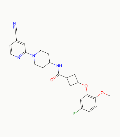 COc1ccc(F)cc1OC1CC(C(=O)NC2CCN(c3cc(C#N)ccn3)CC2)C1